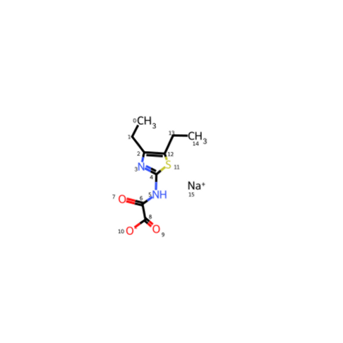 CCc1nc(NC(=O)C(=O)[O-])sc1CC.[Na+]